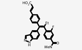 CCC(=C(c1ccc(C=CC(=O)O)cc1)c1ccc2[nH]ncc2c1)c1ccc(C(=O)NC)cc1F